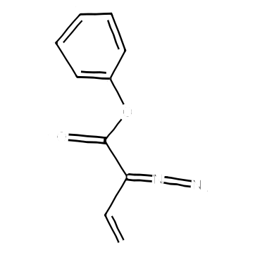 C=CC(=[N+]=[N-])C(=O)Oc1ccccc1